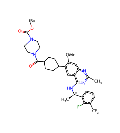 COc1cc2nc(C)nc(N[C@H](C)c3cccc(C(F)(F)F)c3F)c2cc1C1CCC(C(=O)N2CCN(C(=O)OC(C)(C)C)CC2)CC1